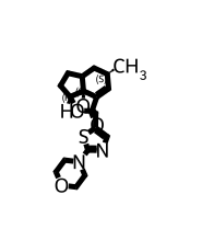 C[C@@H]1C=C2C(=O)O[C@@H]3CCC(C1)[C@]23OCc1cnc(N2CCOCC2)s1